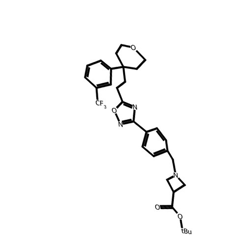 CC(C)(C)OC(=O)C1CN(Cc2ccc(-c3noc(CCC4(c5cccc(C(F)(F)F)c5)CCOCC4)n3)cc2)C1